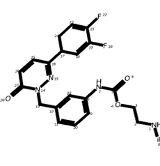 CC(C)NCCOC(=O)Nc1cccc(Cn2nc(C3C=C(F)C(F)=CC3)ccc2=O)c1